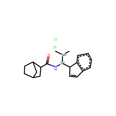 C[SiH](C)[Ti+2]([NH]C(=O)C1CC2CCC1C2)[CH]1C=Cc2ccccc21.[Cl-].[Cl-]